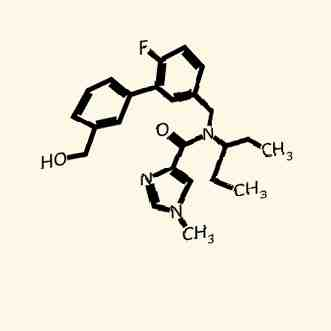 CCC(CC)N(Cc1ccc(F)c(-c2cccc(CO)c2)c1)C(=O)c1cn(C)cn1